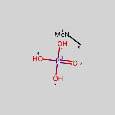 CNC.O=P(O)(O)O